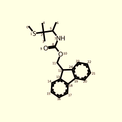 CSC(C)(C)C(C)NC(=O)OCC1c2ccccc2-c2ccccc21